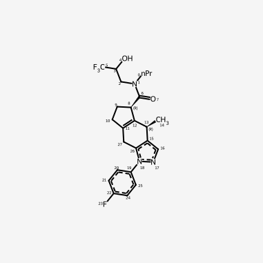 CCCN(CC(O)C(F)(F)F)C(=O)[C@@H]1CCC2=C1[C@@H](C)c1cnn(-c3ccc(F)cc3)c1C2